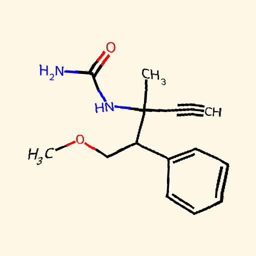 C#CC(C)(NC(N)=O)C(COC)c1ccccc1